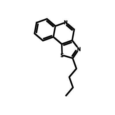 CCCCc1nc2cnc3ccccc3c2s1